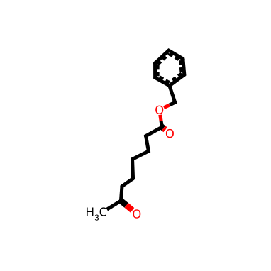 CC(=O)CCCCCC(=O)OCc1ccccc1